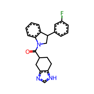 O=C(C1CCc2[nH]cnc2C1)N1CC(c2cccc(F)c2)c2ccccc21